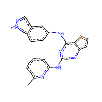 Cc1cccc(Nc2nc(Nc3ccc4[nH]ncc4c3)c3sccc3n2)n1